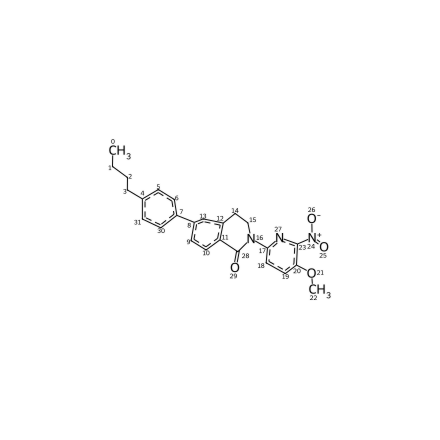 CCCCc1ccc(-c2ccc3c(c2)CCN(c2ccc(OC)c([N+](=O)[O-])n2)C3=O)cc1